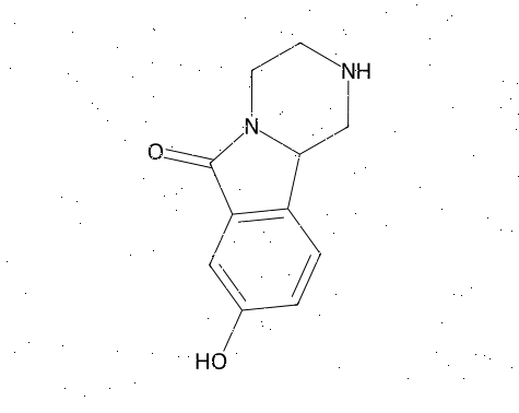 O=C1c2cc(O)ccc2C2CNCCN12